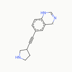 C(#CC1CCNC1)c1ccc2c(c1)[CH]N=CN2